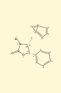 CC(=O)N1C(=O)O[C@@H](c2ccccc2)[C@H]1C.c1cc2cc-2c1